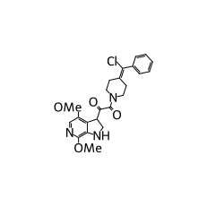 COc1cnc(OC)c2c1C(C(=O)C(=O)N1CCC(=C(Cl)c3ccccc3)CC1)CN2